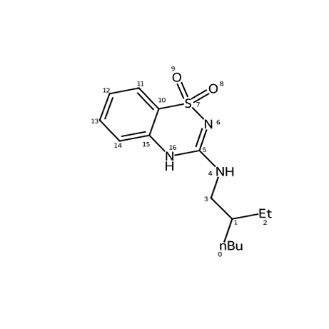 CCCCC(CC)CNC1=NS(=O)(=O)c2ccccc2N1